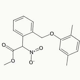 COC(=O)C(c1ccccc1COc1cc(C)ccc1C)[N+](=O)[O-]